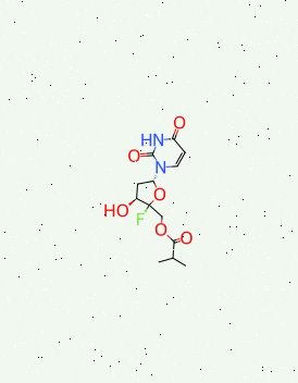 CC(C)C(=O)OC[C@@]1(F)O[C@@H](n2ccc(=O)[nH]c2=O)C[C@@H]1O